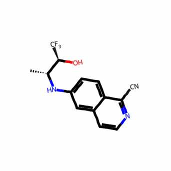 C[C@@H](Nc1ccc2c(C#N)nccc2c1)[C@H](O)C(F)(F)F